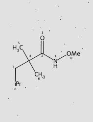 CONC(=O)C(C)(C)CC(C)C